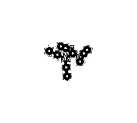 c1ccc(-c2ccc(-c3nc(-c4ccc(-c5ccccc5)cc4)nc(-c4cc(-n5c6ccccc6c6cc7ccccc7cc65)cc5oc6cc7ccccc7cc6c45)n3)cc2)cc1